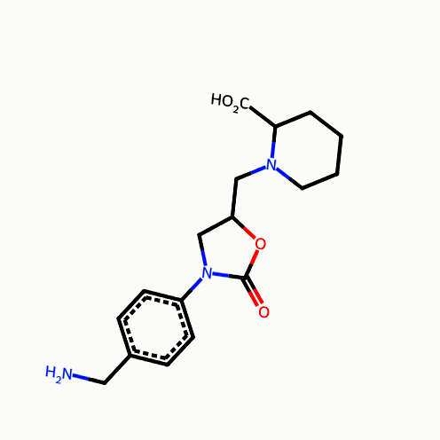 NCc1ccc(N2CC(CN3CCCCC3C(=O)O)OC2=O)cc1